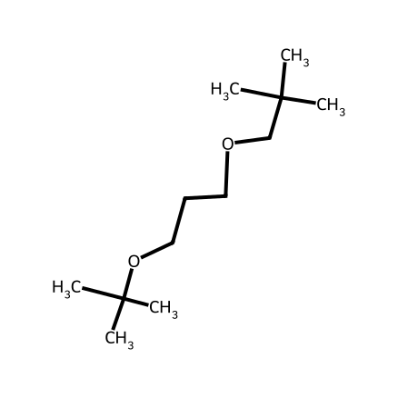 CC(C)(C)COCCCOC(C)(C)C